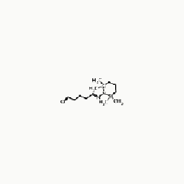 C[Si]1(C)CCC[Si](C)(C)N1N=CCCCC=O